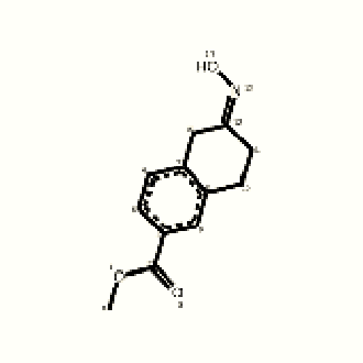 COC(=O)c1ccc2c(c1)CC/C(=N/O)C2